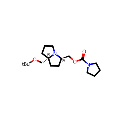 CC(C)(C)OC[C@]12CCCN1[C@@H](COC(=O)N1CCCC1)CC2